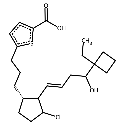 CCC1(C(O)C/C=C/C2C(Cl)CC[C@@H]2CCCc2ccc(C(=O)O)s2)CCC1